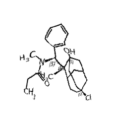 CCC(=O)N(C)[C@@H](c1ccccc1)[C@@]1(C)C2CC3C[C@](Cl)(C2)C[C@@]1(O)C3